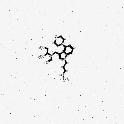 CCC(C)N(C=O)Cc1cn(CCCOC)c2cccc(N3CCOCC3)c12